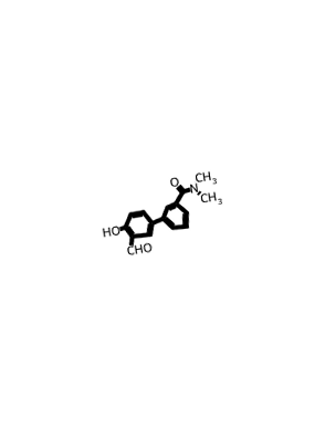 CN(C)C(=O)c1cccc(-c2ccc(O)c(C=O)c2)c1